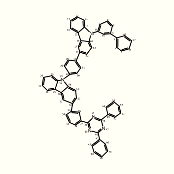 c1ccc(-c2cccc(-n3c4ccccc4c4cc(-c5ccc(-n6c7ccccc7c7cc(-c8cccc(-c9nc(-c%10ccccc%10)nc(-c%10ccccc%10)n9)c8)ccc76)cc5)ccc43)c2)cc1